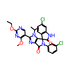 CCOc1ncc(-c2nc3c(n2C(C)C)C2(C(=O)Nc4cc(Cl)ccc42)N(c2cccc(Cl)c2)C3=O)c(OC)n1